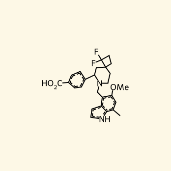 COc1cc(C)c2[nH]ccc2c1CN1CCC2(CCC2(F)F)CC1c1ccc(C(=O)O)cc1